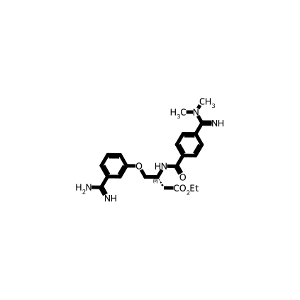 CCOC(=O)C[C@H](COc1cccc(C(=N)N)c1)NC(=O)c1ccc(C(=N)N(C)C)cc1